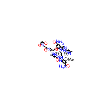 CCn1nc(C)cc1C(=O)Nc1nc2cc(C(N)=O)cc(OC)c2n1C/C=C/Cn1c2nc(-c3cc(C)nn3CC)ncc2c2cc(C(N)=O)cc(OCCC3CN(C(=O)CCN4C(=O)C=CC4=O)C3)c21